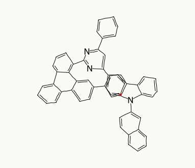 c1ccc(-c2cc(-c3ccccc3)nc(-c3cccc4c5ccccc5c5ccc(-c6ccc7c8ccccc8n(-c8ccc9ccccc9c8)c7c6)cc5c34)n2)cc1